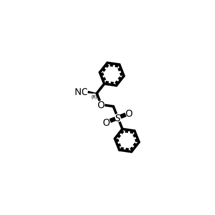 N#C[C@H](OCS(=O)(=O)c1ccccc1)c1ccccc1